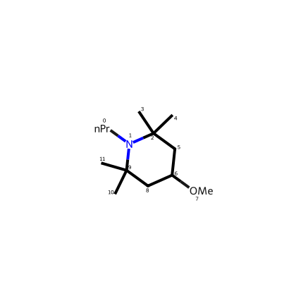 CCCN1C(C)(C)CC(OC)CC1(C)C